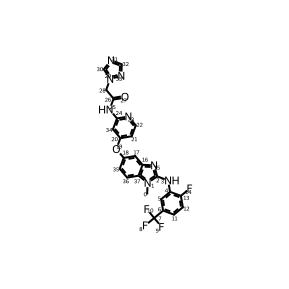 Cn1c(Nc2cc(C(F)(F)F)ccc2F)nc2cc(Oc3ccnc(NC(=O)Cn4cncn4)c3)ccc21